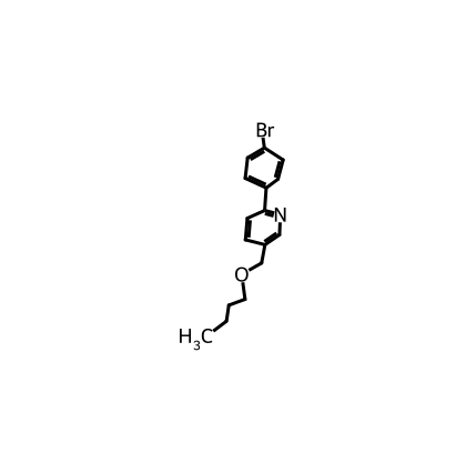 CCCCOCc1ccc(-c2ccc(Br)cc2)nc1